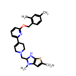 Bc1cc(C)ccc1COc1cccc(C2=CCN(CC3Nc4sc(C(=O)O)cc4N3C)CC2)n1